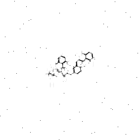 CC(C)(COC(=O)C(Cc1ccc2nc(-c3c(Cl)cccc3Cl)ccc2c1)NC(=O)c1c(Cl)cccc1Cl)C(=O)O